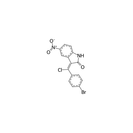 O=C1Nc2ccc([N+](=O)[O-])cc2C1=C(Cl)c1ccc(Br)cc1